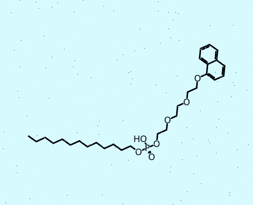 CCCCCCCCCCCCCOP(=O)(O)OCCOCCOCCOc1cccc2ccccc12